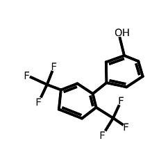 Oc1cccc(-c2cc(C(F)(F)F)ccc2C(F)(F)F)c1